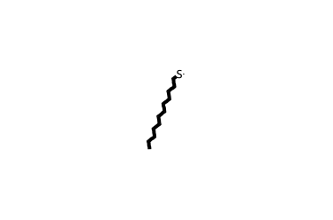 CCCCCCCCCCCC[S]